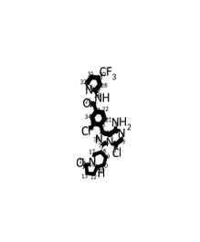 Nc1ncc(Cl)n2c([C@@H]3CC[C@H]4CCC(=O)N4C3)nc(-c3ccc(C(=O)Nc4cc(C(F)(F)F)ccn4)cc3Cl)c12